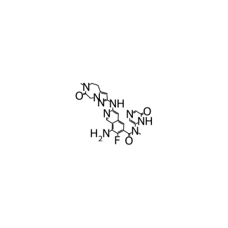 CN1CCc2cc(Nc3cc4cc(C(=O)N(C)c5cncc(=O)[nH]5)c(F)c(N)c4cn3)nn2CC1=O